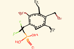 CCc1cc(C(F)(F)P(=O)(O)O)c(Br)c(CC)c1CBr